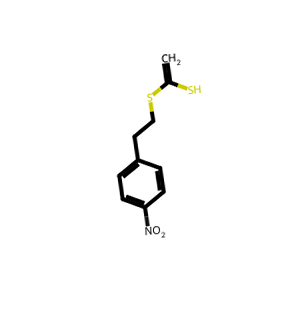 C=C(S)SCCc1ccc([N+](=O)[O-])cc1